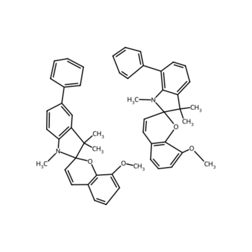 COc1cccc2c1OC1(C=C2)N(C)c2c(-c3ccccc3)cccc2C1(C)C.COc1cccc2c1OC1(C=C2)N(C)c2ccc(-c3ccccc3)cc2C1(C)C